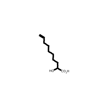 C=CCCCCCCC(O)C(=O)O